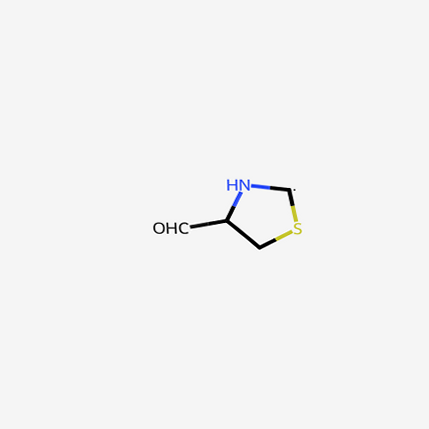 O=CC1CS[CH]N1